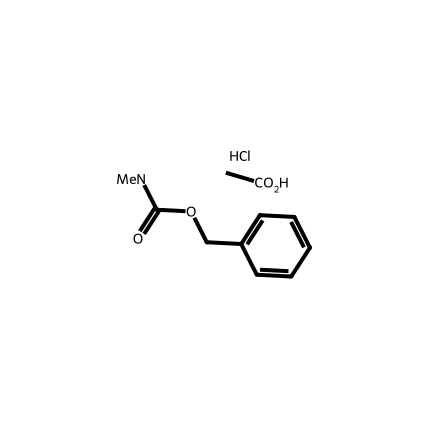 CC(=O)O.CNC(=O)OCc1ccccc1.Cl